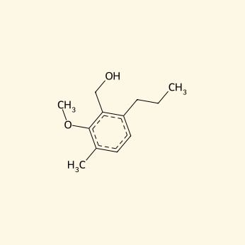 CCCc1ccc(C)c(OC)c1CO